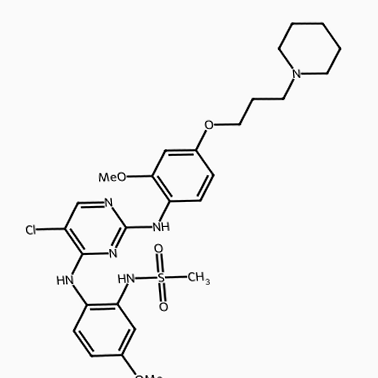 COc1ccc(Nc2nc(Nc3ccc(OCCCN4CCCCC4)cc3OC)ncc2Cl)c(NS(C)(=O)=O)c1